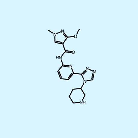 COc1nn(C)cc1C(=O)Nc1cccc(-c2nncn2C2CCCNC2)n1